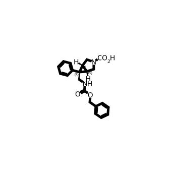 O=C(NC[C@@]1(c2ccccc2)[C@@H]2CN(C(=O)O)C[C@@H]21)OCc1ccccc1